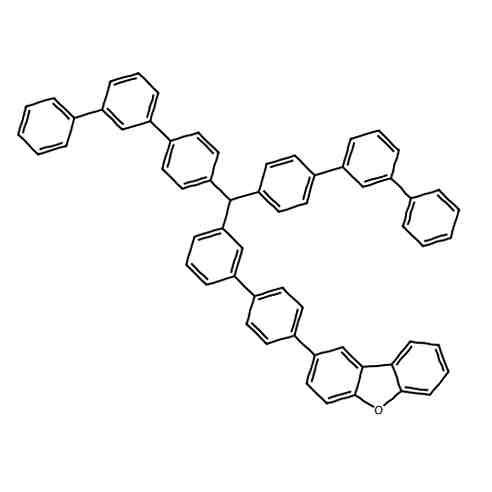 c1ccc(-c2cccc(-c3ccc(C(c4ccc(-c5cccc(-c6ccccc6)c5)cc4)c4cccc(-c5ccc(-c6ccc7oc8ccccc8c7c6)cc5)c4)cc3)c2)cc1